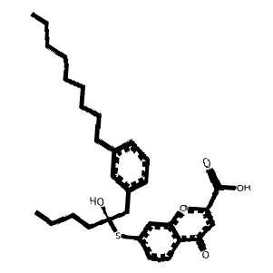 CCCCCCCCCc1cccc(C[C@@](O)(CCCC)Sc2ccc3c(=O)cc(C(=O)O)oc3c2)c1